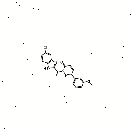 COc1cccc(-c2ccc(=O)n(C(C)c3nc4cc(Cl)ccc4[nH]3)n2)c1